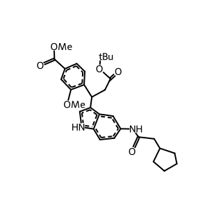 COC(=O)c1ccc(C(CC(=O)OC(C)(C)C)c2c[nH]c3ccc(NC(=O)CC4CCCC4)cc23)c(OC)c1